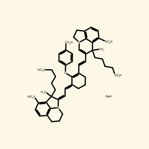 CC1(CCCCS(=O)(=O)O)C(/C=C/C2=C(Oc3ccc(C(=O)O)cc3)C(=C/C=C3/N4CCCc5ccc(S(=O)(=O)O)c(c54)C3(C)CCCCS(=O)(=O)O)/CCC2)=CN2CCc3ccc(S(=O)(=O)O)c1c32.[NaH]